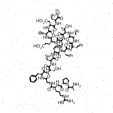 CC[C@H](C)[C@H](NC(=O)[C@H](CCC(=O)O)NC(=O)[C@H](CO)NC(=O)[C@@H](NC(=O)[C@H](CC(C)C)NC(=O)[C@H](CC(C)C)NC(=O)[C@H](CC(C)C)NC(=O)[C@H](CC(C)C)NC(=O)[C@H](CS)NC(=O)[C@H](CO)NC(=O)[C@H](Cc1ccccc1)NC(=O)CNC(=O)[C@H](CCCNC(=N)N)NC(=O)[C@@H]1CCCN1C(=O)[C@H](C)N)[C@@H](C)O)C(=O)N[C@@H](CC(=O)O)C(=O)N[C@@H](CC(C)C)C(N)=O